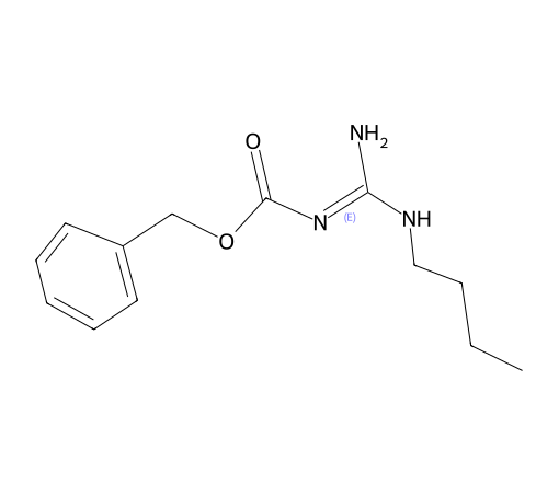 CCCCN/C(N)=N/C(=O)OCc1ccccc1